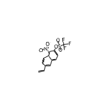 C=Cc1ccc2c([N+](=O)[O-])c(OS(=O)(=O)C(F)(F)F)ccc2c1